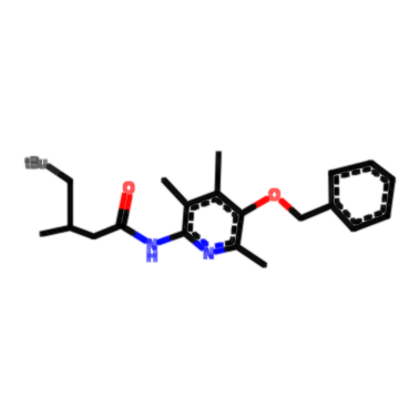 Cc1nc(NC(=O)CC(C)CC(C)(C)C)c(C)c(C)c1OCc1ccccc1